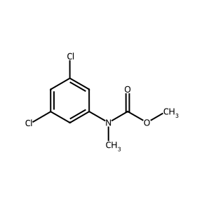 COC(=O)N(C)c1cc(Cl)cc(Cl)c1